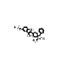 COc1ccc2[nH]c(C3CCC(Cc4ccccc4)(N(C)C)CC3)c(C)c2c1